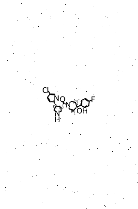 C[C@@H]1CN(C(=O)[C@@H]2CNC[C@H]2c2ccc(Cl)cn2)C[C@H](C)C1(O)c1ccc(F)cc1